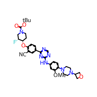 COc1cc(Nc2ncnc(-c3ccc(O[C@H]4CCN(C(=O)OC(C)(C)C)C[C@H]4F)c(C#N)c3)n2)ccc1N1CCN(C2COC2)CC1